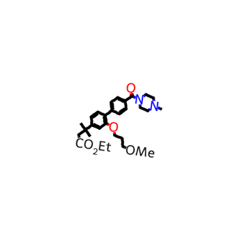 CCOC(=O)CC(C)(C)c1ccc(-c2ccc(C(=O)N3CCN(C)CC3)cc2)c(OCCCOC)c1